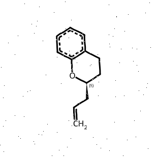 C=CC[C@@H]1CCc2ccccc2O1